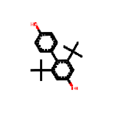 CC(C)(C)c1cc(O)cc(C(C)(C)C)c1-c1ccc(O)cc1